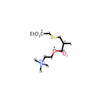 CCOC(=O)CSCC(C)C(=O)OCC[N+](C)(C)C